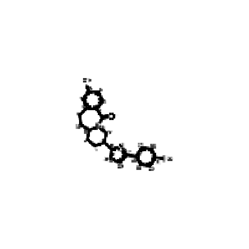 O=C1c2ccc(F)cc2CCC2CCC(c3nc(-c4ccc(F)cc4)cs3)CN12